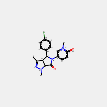 CC1=NN(C)C2C(=O)N(c3ccc(=O)n(C)c3)C(c3ccc(Cl)cc3)C12